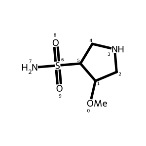 COC1CNCC1S(N)(=O)=O